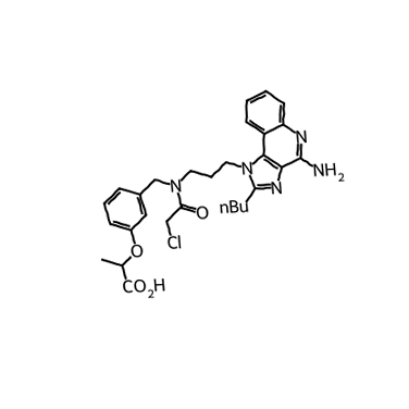 CCCCc1nc2c(N)nc3ccccc3c2n1CCCN(Cc1cccc(OC(C)C(=O)O)c1)C(=O)CCl